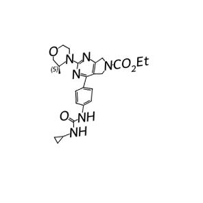 CCOC(=O)N1Cc2nc(N3CCOC[C@@H]3C)nc(-c3ccc(NC(=O)NC4CC4)cc3)c2C1